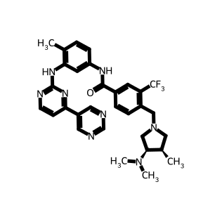 Cc1ccc(NC(=O)c2ccc(CN3C[C@@H](C)[C@@H](N(C)C)C3)c(C(F)(F)F)c2)cc1Nc1nccc(-c2cncnc2)n1